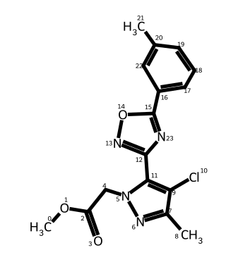 COC(=O)Cn1nc(C)c(Cl)c1-c1noc(-c2cccc(C)c2)n1